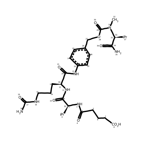 CC(C)[C@H](NC(=O)CCCC(=O)O)C(=O)N[C@@H](CCCNC(N)=O)C(=O)Nc1ccc(COC(=O)N(C)[C@H](C(N)=O)C(C)C)cc1